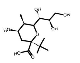 C[C@H]1C([C@H](O)[C@H](O)CO)O[C@](C(=O)O)(C(C)(C)C)C[C@H]1O